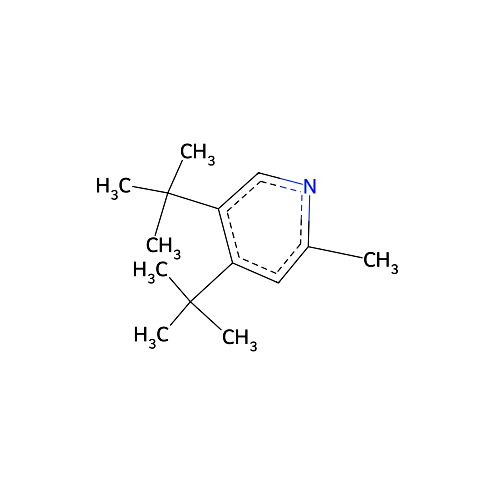 Cc1cc(C(C)(C)C)c(C(C)(C)C)cn1